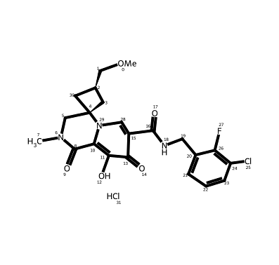 COC[C@H]1C[C@@]2(CN(C)C(=O)c3c(O)c(=O)c(C(=O)NCc4cccc(Cl)c4F)cn32)C1.Cl